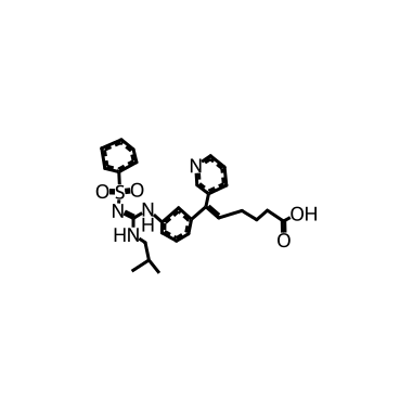 CC(C)CNC(=NS(=O)(=O)c1ccccc1)Nc1cccc(C(=CCCCC(=O)O)c2cccnc2)c1